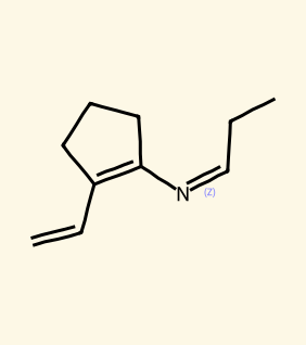 C=CC1=C(/N=C\CC)CCC1